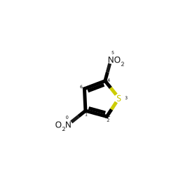 O=[N+]([O-])c1[c]sc([N+](=O)[O-])c1